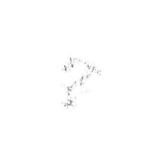 CC[C@@]1(O)C(=O)OCc2c1cc1n(c2=O)Cc2c-1nc1cc(F)c(C)c3c1c2[C@@H](NC(=O)COCNC(=O)CNC(=O)[C@H](Cc1ccccc1)NC(=O)CNC(=O)CNC(=O)[C@H](CCC(=O)NC[C@H]1O[C@@H](CC(=O)NC[C@@H]2O[C@H](C(N)=O)[C@@H](O)[C@H](O)[C@H]2O)[C@H](O)[C@@H]1O)NC(=O)OCC1c2ccccc2-c2ccccc21)CC3